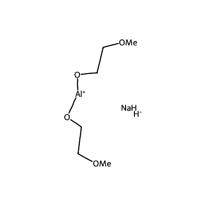 COCC[O][Al+][O]CCOC.[H-].[NaH]